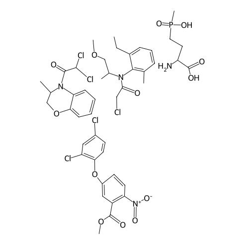 CC1COc2ccccc2N1C(=O)C(Cl)Cl.CCc1cccc(C)c1N(C(=O)CCl)C(C)COC.COC(=O)c1cc(Oc2ccc(Cl)cc2Cl)ccc1[N+](=O)[O-].CP(=O)(O)CCC(N)C(=O)O